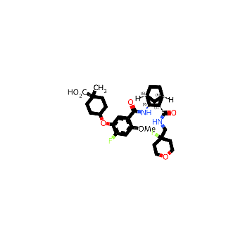 COc1cc(F)c(OC2CCC(C)(C(=O)O)CC2)cc1C(=O)N[C@@H]1[C@H]2CC[C@H](C2)[C@@H]1C(=O)NCC1(F)CCOCC1